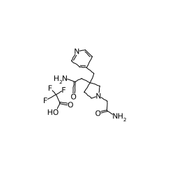 NC(=O)CN1CCC(CC(N)=O)(Cc2ccncc2)C1.O=C(O)C(F)(F)F